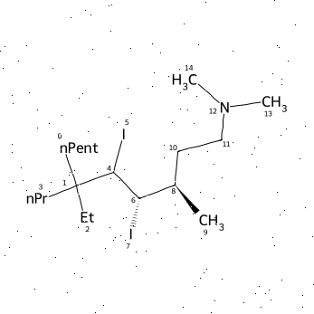 CCCCCC(CC)(CCC)C(I)[C@@H](I)[C@H](C)CCN(C)C